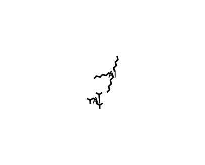 CC(C)[CH2][Al]([CH2]C(C)C)[CH2]C(C)C.CCCCC[CH2][Al]([CH2]CCCCC)[CH2]CCCCC